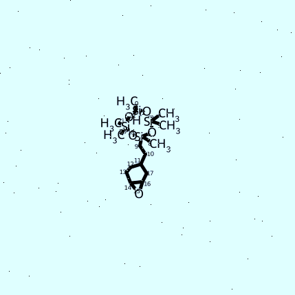 C[SiH]1O[Si](C)(C)O[Si](C)(CCC2CCC3OC3C2)O[Si](C)(C)O1